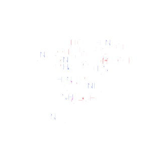 NC[C@@H]1O[C@H](O[C@H]2[C@@H](O)[C@H](O[C@@H]3[C@@H](O)[C@H](NC(=O)C4(O)CC(N)C4)C[C@H](N)[C@H]3O[C@H]3O[C@H](CNCC4CC(N)C4)[C@@H](O)[C@H](O)[C@H]3N)O[C@@H]2CO)[C@H](N)[C@@H](O)[C@@H]1O